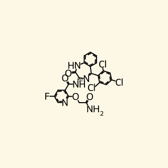 NC(=O)COc1ncc(F)cc1C(=O)N[C@H]1N=C(c2c(Cl)cc(Cl)cc2Cl)c2ccccc2NC1=O